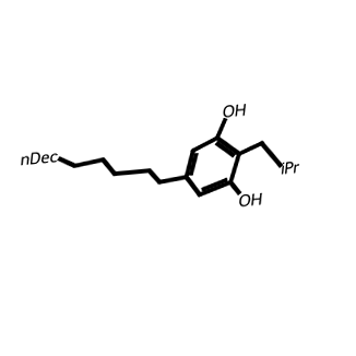 CCCCCCCCCCCCCCCc1cc(O)c(CC(C)C)c(O)c1